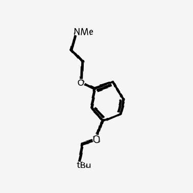 CNCCOc1cccc(OCC(C)(C)C)c1